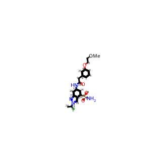 COCCOc1cccc(CC(=O)Nc2cc(S(N)(=O)=O)c3cn(C(C)F)nc3c2)c1